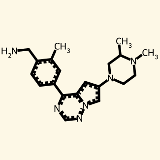 Cc1cc(-c2ncnn3cc(N4CCN(C)C(C)C4)cc23)ccc1CN